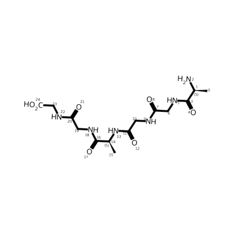 C[C@H](N)C(=O)NCC(=O)NCC(=O)N[C@@H](C)C(=O)NCC(=O)NCC(=O)O